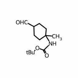 CC1(NC(=O)OC(C)(C)C)CCC(C=O)CC1